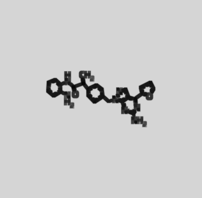 C=C(C(=O)Nc1ccccc1N)c1ccc(Cn2ncc3c(-c4ccco4)nc(N)nc32)cc1